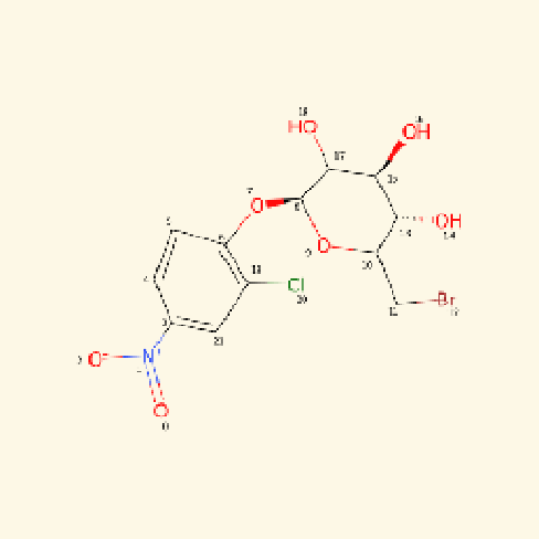 O=[N+]([O-])c1ccc(O[C@@H]2OC(CBr)[C@@H](O)[C@H](O)C2O)c(Cl)c1